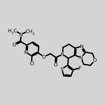 CN(C)C(=O)c1ccc(OCC(=O)N2CCc3nc4n(c3C2c2sccc2F)CCOC4)c(Cl)n1